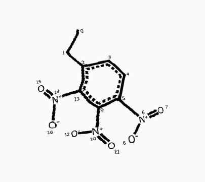 CCc1ccc([N+](=O)[O-])c([N+](=O)[O-])c1[N+](=O)[O-]